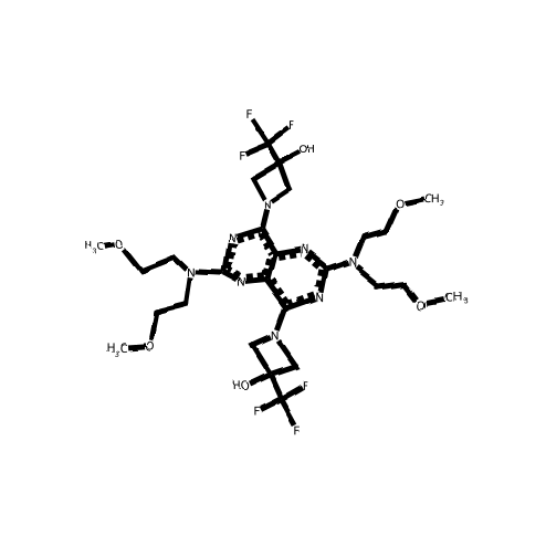 COCCN(CCOC)c1nc(N2CC(O)(C(F)(F)F)C2)c2nc(N(CCOC)CCOC)nc(N3CC(O)(C(F)(F)F)C3)c2n1